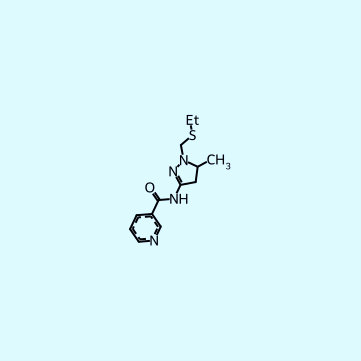 CCSCN1N=C(NC(=O)c2cccnc2)CC1C